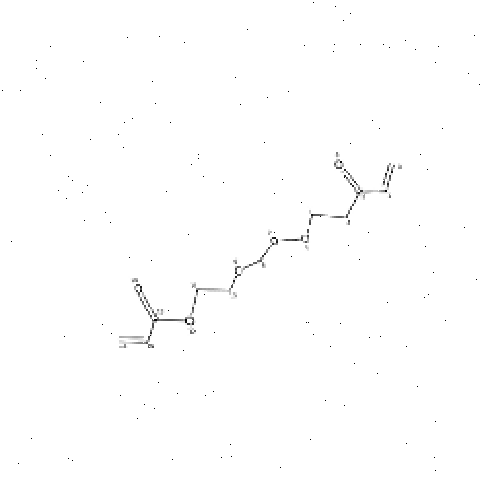 C=CC(=O)CCOOCOCCOC(=O)C=C